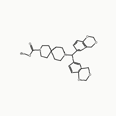 CC(C)(C)OC(=O)N1CCC2(CC1)CCN(C(c1ccc3c(c1)COCO3)c1ccc3c(c1)COCO3)CC2